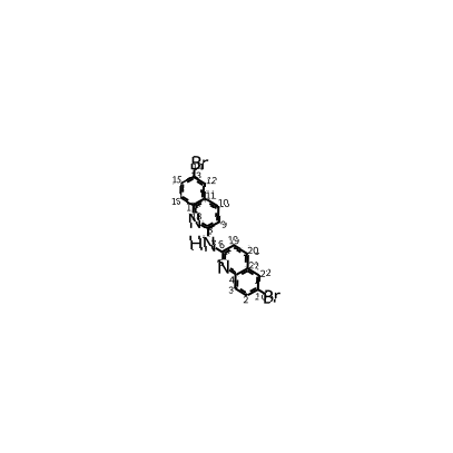 Brc1ccc2nc(Nc3ccc4cc(Br)ccc4n3)ccc2c1